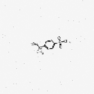 C[C@H](c1ccc(S(C)(=O)=O)cc1)C(C)(C)C